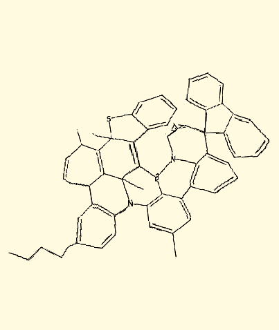 CCCCc1ccc2c(c1)C1(C)C=CC(C)C3=C1C1(C)C(=C4c5ccccc5SC43C)B3c4c(cc(C)cc4N21)-c1cccc2c1N3c1ccccc1C21c2ccccc2-c2ccccc21